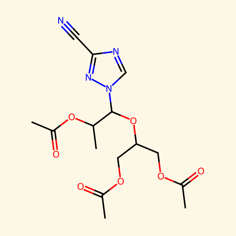 CC(=O)OCC(COC(C)=O)OC(C(C)OC(C)=O)n1cnc(C#N)n1